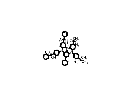 CC(C)(C1=CC=CCC1)C1=CC=C(N2C3=CC(C4CCCCC4)CC4=C3B(C3=CC(C(C)(C)C)CCC3N4C3=CCC(C(C)(C)C)C=C3)C3CC(C(C)(C)C4C=CC=CC4)C=CC32)CC1